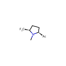 CC(=O)[C@@H]1CC[C@H](C(F)(F)F)N1C